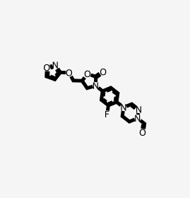 O=CN1CCN(c2ccc(N3CC(COc4ccon4)OC3=O)cc2F)C=N1